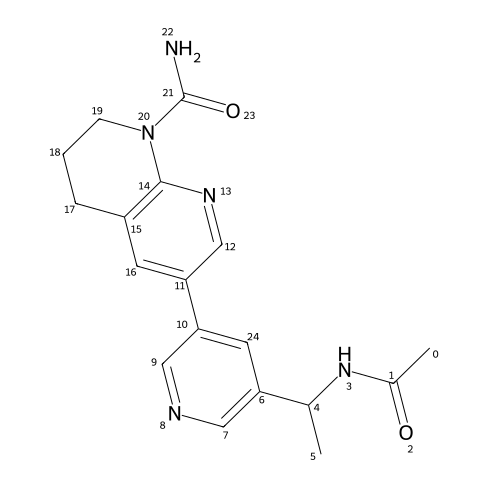 CC(=O)NC(C)c1cncc(-c2cnc3c(c2)CCCN3C(N)=O)c1